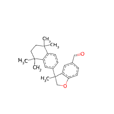 CC1(C)CCC(C)(C)c2cc(C3(C)COc4ccc(C=O)cc43)ccc21